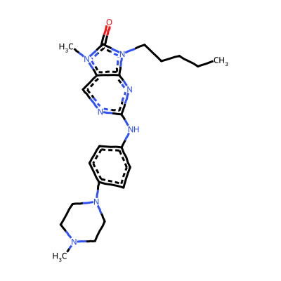 CCCCCn1c(=O)n(C)c2cnc(Nc3ccc(N4CCN(C)CC4)cc3)nc21